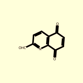 O=Cc1ccc2c(n1)C(=O)C=CC2=O